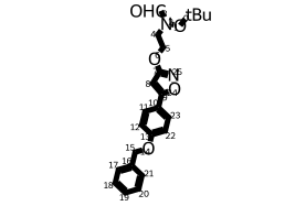 CC(C)(C)ON(C=O)CCOc1cc(-c2ccc(OCc3ccccc3)cc2)on1